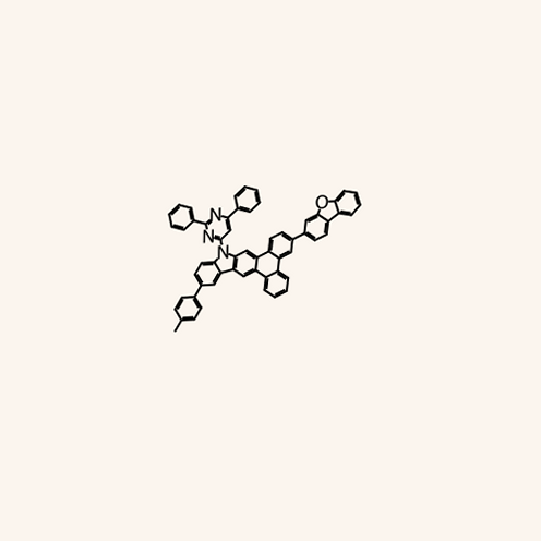 Cc1ccc(-c2ccc3c(c2)c2cc4c5ccccc5c5cc(-c6ccc7c(c6)oc6ccccc67)ccc5c4cc2n3-c2cc(-c3ccccc3)nc(-c3ccccc3)n2)cc1